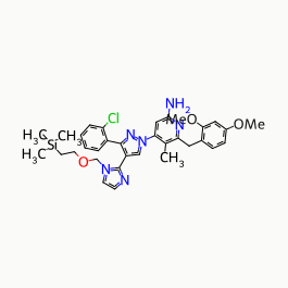 COc1ccc(Cc2nc(N)cc(-n3cc(-c4nccn4COCC[Si](C)(C)C)c(-c4ccccc4Cl)n3)c2C)c(OC)c1